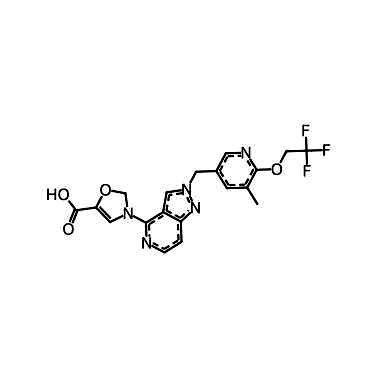 Cc1cc(Cn2cc3c(N4C=C(C(=O)O)OC4)nccc3n2)cnc1OCC(F)(F)F